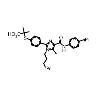 Cc1c(C(=O)Nc2ccc(C(C)C)cc2)nc(-c2ccc(SC(C)(C)C(=O)O)cc2)n1CCCC(C)C